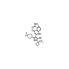 NC(=O)c1nccc2[nH]c(-c3c(Br)c(C4(C(F)(F)F)CCC4)nn3C3CCC(F)(F)CC3)cc(=O)c12